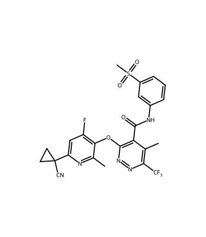 Cc1nc(C2(C#N)CC2)cc(F)c1Oc1nnc(C(F)(F)F)c(C)c1C(=O)Nc1cccc(S(C)(=O)=O)c1